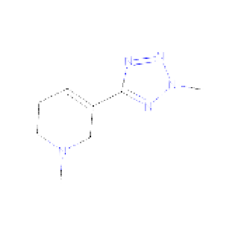 CN1CCC=C(c2nnn(C)n2)C1